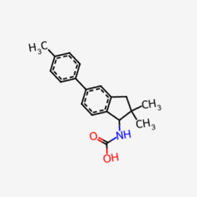 Cc1ccc(-c2ccc3c(c2)CC(C)(C)C3NC(=O)O)cc1